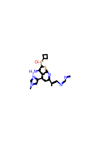 C=N/C=N\C=C(/C)c1cc(-c2cn(C)cn2)c2c(N)c([S@+]([O-])C3CCC3)sc2n1